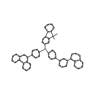 CC1(C)c2ccccc2-c2ccc(N(c3ccc(-c4cccc(-c5cccc6ccccc56)c4)cc3)c3ccc(-c4cc5ccccc5c5ccccc45)cc3)cc21